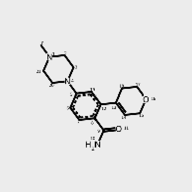 CN1CCN(c2ccc(C(N)=O)c(C3=CCOCC3)c2)CC1